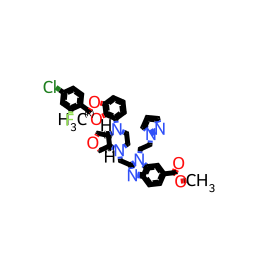 COC(=O)c1ccc2nc(CN3CCN(c4cccc5c4O[C@](C)(c4ccc(Cl)cc4F)O5)[C@H]4COC[C@H]43)n(CCn3cccn3)c2c1